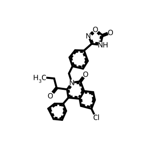 CCC(=O)c1c(-c2ccccc2)c2cc(Cl)ccc2c(=O)n1Cc1ccc(-c2noc(=O)[nH]2)cc1